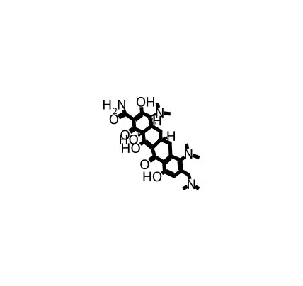 CN(C)Cc1cc(O)c2c(c1N(C)C)C[C@H]1C[C@H]3[C@H](N(C)C)C(O)=C(C(N)=O)C(=O)[C@@]3(O)C(O)=C1C2=O